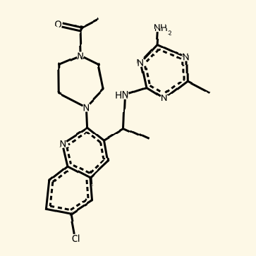 CC(=O)N1CCN(c2nc3ccc(Cl)cc3cc2C(C)Nc2nc(C)nc(N)n2)CC1